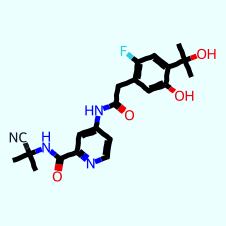 CC(C)(C#N)NC(=O)c1cc(NC(=O)Cc2cc(O)c(C(C)(C)O)cc2F)ccn1